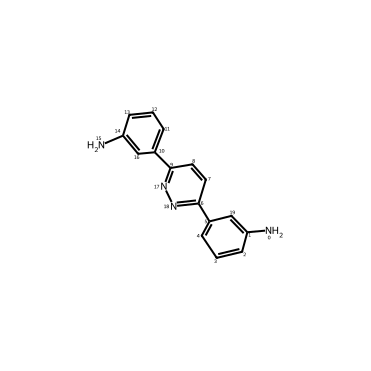 Nc1cccc(-c2ccc(-c3cccc(N)c3)nn2)c1